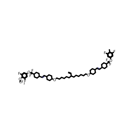 C=CC(CCCCCCOC1CCC(/C=C/C2CCC(C(F)(F)Oc3cc(F)c(C)c(F)c3)CC2)CC1)CCCCCCOC1CCC(/C=C/C2CCC(C(F)(F)Oc3cc(F)c(OC(F)(F)F)c(F)c3)CC2)CC1